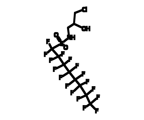 O=S(=O)(NCC(O)CCl)C(F)(F)C(F)(F)C(F)(F)C(F)(F)C(F)(F)C(F)(F)C(F)(F)C(F)(F)F